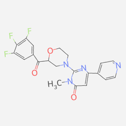 Cn1c(N2CCOC(C(=O)c3cc(F)c(F)c(F)c3)C2)nc(-c2ccncc2)cc1=O